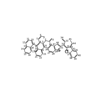 C=CCc1c(/C=C\C)c(-c2cccc3ccccc23)c2ccccc2c1-c1ccc2sc(/C(C=C)=c3\oc4ccccc4\c3=C\C)cc2c1